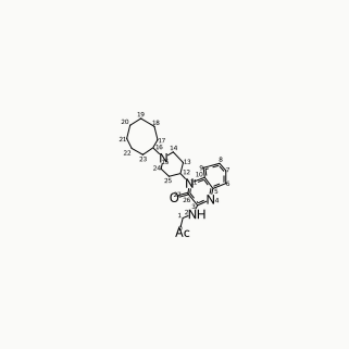 CC(=O)CNc1nc2ccccc2n(C2CCN(C3CCCCCCC3)CC2)c1=O